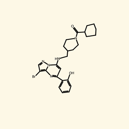 O=C(C1CCCCC1)N1CCC(CNc2cc(-c3ccccc3O)nc3c(Br)cnn23)CC1